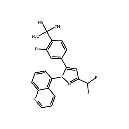 CC(C)(S)c1ccc(-c2cc(C(F)F)nn2-c2cccc3ncccc23)cc1F